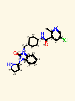 Cc1ncc(Cl)cc1C(=O)N[C@H]1CC[C@H](Cn2c(=O)n(C3=CCCN3)c3ccccc32)CC1